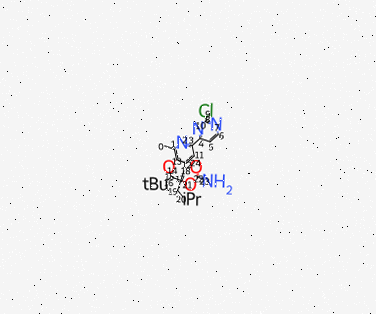 Cc1nc(-c2ccnc(Cl)n2)ccc1OC(C(C)(C)C)C(C)(CC(C)C)OC(N)=O